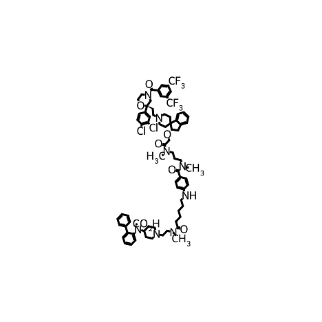 CN(CCN1CCC(N(C(=O)O)c2ccccc2-c2ccccc2)CC1)C(=O)CCCCCNc1ccc(C(=O)N(C)CCCN(C)C(=O)CO[C@H]2Cc3ccccc3C23CCN(CC[C@]2(c4ccc(Cl)c(Cl)c4)CN(C(=O)c4cc(C(F)(F)F)cc(C(F)(F)F)c4)CCO2)CC3)cc1